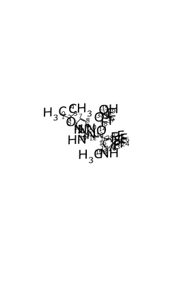 CCC(CC)Oc1ccc2nn(CC(=O)c3cc(NC)cc(S(F)(F)(F)(F)F)c3)c(=N)n2n1.O=C(O)C(F)(F)F